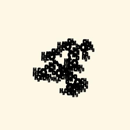 CN1C(C)(C)CC(Oc2nc(OC3CC(C)(C)N(C)C(C)(C)C3)nc(N(CCCCCCN(c3nc(OC4CC(C)(C)N(C)C(C)(C)C4)nc(OC4CC(C)(C)N(C)C(C)(C)C4)n3)C3CC(C)(C)NC(C)(C)C3)CCCCCCN(c3nc(OC4CC(C)(C)N(C)C(C)(C)C4)nc(OC4CC(C)(C)N(C)C(C)(C)C4)n3)C3CC(C)(C)NC(C)(C)C3)n2)CC1(C)C